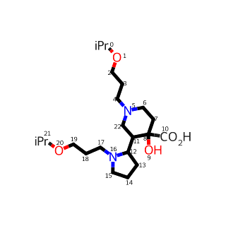 CC(C)OCCCN1CCC(O)(C(=O)O)C(C2CCCN2CCCOC(C)C)C1